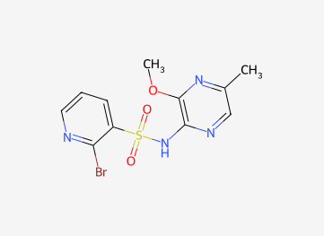 COc1nc(C)cnc1NS(=O)(=O)c1cccnc1Br